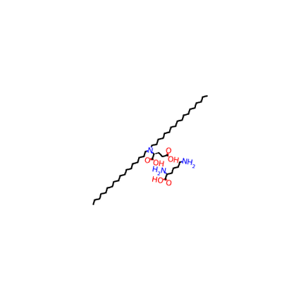 CCCCCCCCCCCCCCCCCCN(CCCCCCCCCCCCCCCCCC)[C@@H](CCC(=O)O)C(=O)O.NCCCC[C@H](N)C(=O)O